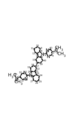 CN(C)c1cnc(-n2c3ccccc3c3cc(-c4ccc5c(c4)c4ccccc4n5-c4ncc(N(C)C)cn4)ccc32)nc1